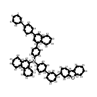 c1ccc(-c2ccc(-c3cc(-c4ccc(N(c5ccc(-c6cccc(-c7ccc8c(c7)oc7ccccc78)c6)cc5)c5cc6ccccc6c6ccccc56)cc4)c4ccccc4c3)cc2)cc1